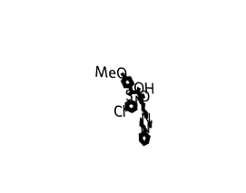 COc1ccc(C2Sc3cc(Cl)ccc3N(CCCN3CCN(c4ccccc4)CC3)C(=O)C2O)cc1